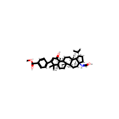 COC(=O)c1ccc(C2=CC(=O)[C@]3(C)[C@H]4CC[C@@H]5[C@H]6[C@H](C(C)C)CC[C@]6(N=C=O)CC[C@@]5(C)[C@]4(C)CC[C@H]3C2(C)C)cc1